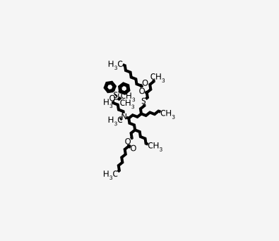 CCCCCCCC(=O)OCCC(CCCCC)CCC(CCC(CCCCC)CCSCC(CCCC)OC(=O)CCCCCCC)N(C)CCCCO[Si](c1ccccc1)(c1ccccc1)C(C)(C)C